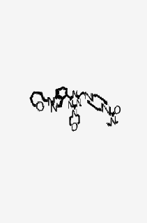 CN(C)C(=O)N1CCN(Cc2nc(-c3cccc4c3cnn4C3CCCCO3)nc(N3CCOCC3)n2)CC1